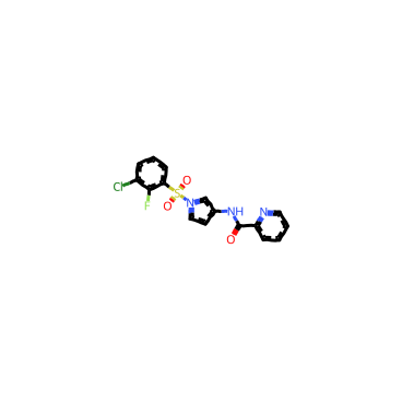 O=C(Nc1ccn(S(=O)(=O)c2cccc(Cl)c2F)c1)c1ccccn1